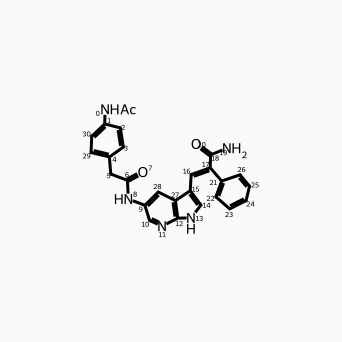 CC(=O)Nc1ccc(CC(=O)Nc2cnc3[nH]cc(C=C(C(N)=O)c4ccccc4)c3c2)cc1